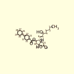 CCCCCC(O)C=C[C@@H]1[C@H]2CC(=O)O[C@H]2C[C@H]1OC(=O)c1ccc(-c2ccccc2)cc1